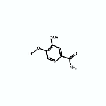 COc1cc(C(N)=O)ncc1OC(C)C